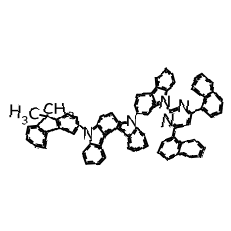 CC1(C)c2ccccc2-c2cc(-n3c4ccccc4c4c5c6ccccc6n(-c6ccc7c8ccccc8n(-c8nc(-c9cccc%10ccccc9%10)cc(-c9cccc%10ccccc9%10)n8)c7c6)c5ccc43)ccc21